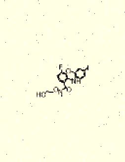 CN(OCCO)C(=O)c1ccc(F)cc1Nc1ccc(I)cc1Cl